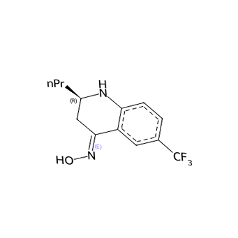 CCC[C@@H]1C/C(=N\O)c2cc(C(F)(F)F)ccc2N1